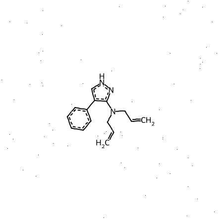 C=CCN(CC=C)c1n[nH]cc1-c1ccccc1